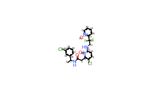 CC(NC(=O)Cc1c(Cl)ccc(NCC(F)(F)c2cccc[n+]2[O-])[n+]1[O-])c1cccc(Cl)c1